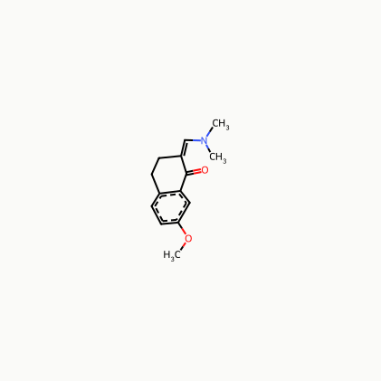 COc1ccc2c(c1)C(=O)/C(=C\N(C)C)CC2